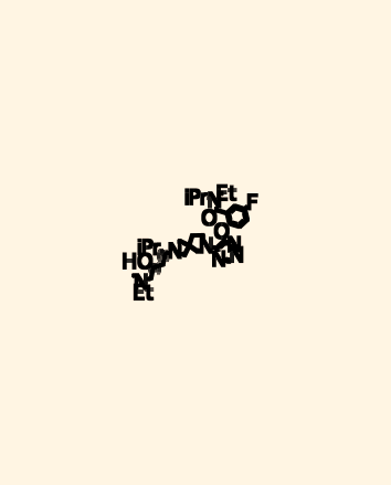 CCN(C)C[C@H](O)C[C@@H](C(C)C)N1CC2(CCN(c3ncnnc3Oc3ccc(F)cc3C(=O)N(CC)C(C)C)C2)C1